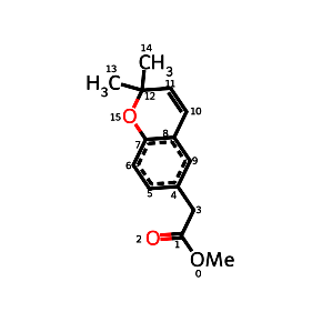 COC(=O)Cc1ccc2c(c1)C=CC(C)(C)O2